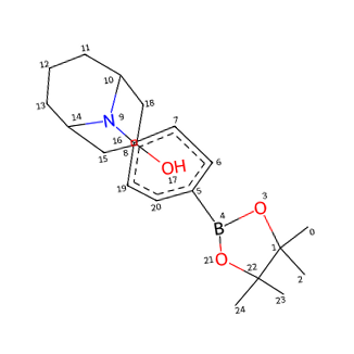 CC1(C)OB(c2ccc(N3C4CCCC3CC(O)C4)cc2)OC1(C)C